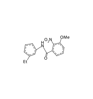 CCc1cccc(NC(=O)c2cccc(OC)c2[N+](=O)[O-])c1